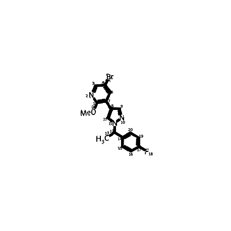 COc1ncc(Br)cc1-c1cnn(C(C)c2ccc(F)cc2)c1